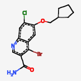 NC(=O)c1cnc2cc(Cl)c(OCC3CCCC3)cc2c1Br